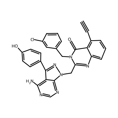 C#Cc1cccc2nc(Cn3nc(-c4ccc(O)cc4)c4c(N)ncnc43)n(Cc3cccc(Cl)c3)c(=O)c12